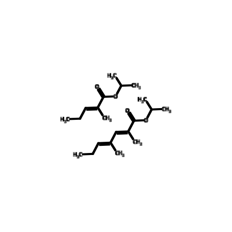 CC/C=C(C)/C=C(\C)C(=O)OC(C)C.CC/C=C(\C)C(=O)OC(C)C